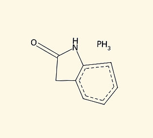 O=C1Cc2ccccc2N1.P